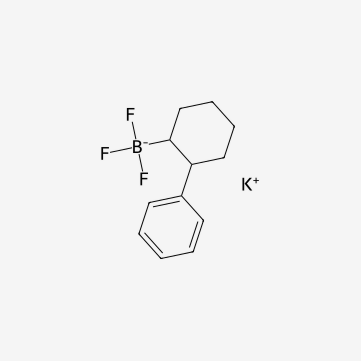 F[B-](F)(F)C1CCCCC1c1ccccc1.[K+]